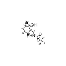 CC(C)(C)OC(=O)NCc1c(F)ccc(Br)c1O